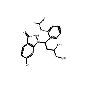 O=c1[nH]n(C(CC(O)CO)c2ccccc2OC(F)F)c2cc(Br)ccc12